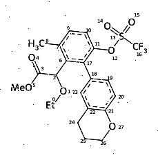 CCOC(C(=O)OC)c1c(C)ccc(OS(=O)(=O)C(F)(F)F)c1-c1ccc2c(c1)CCCO2